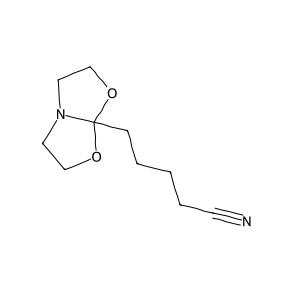 N#CCCCCC12OCCN1CCO2